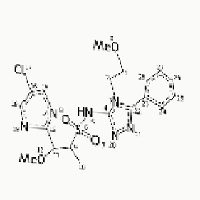 COCCn1c(NS(=O)(=O)C(C)C(OC)c2ncc(Cl)cn2)nnc1-c1ccccc1